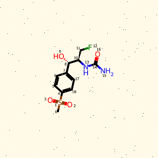 CS(=O)(=O)c1ccc([C@H](O)[C@@H](CF)NC(N)=O)cc1